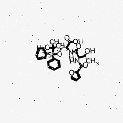 C[C@@H](O)[C@H](NC(=O)c1ccco1)C(=O)N[C@H](CO[Si](c1ccccc1)(c1ccccc1)C(C)(C)C)C(=O)O